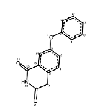 O=C1Cc2ccc(Oc3ccccc3)cc2C(=O)N1